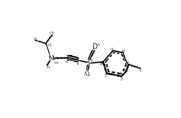 Cc1ccc(S(=O)(=O)C#CN(C)C(C)C)cc1